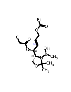 CCC(=O)OC/C=C/[C@H](OC(=O)CCl)[C@H]1COC(C)(C)N1B(C)O